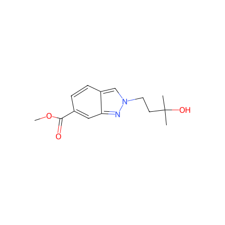 COC(=O)c1ccc2cn(CCC(C)(C)O)nc2c1